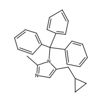 Cc1ncc(CC2CC2)n1C(c1ccccc1)(c1ccccc1)c1ccccc1